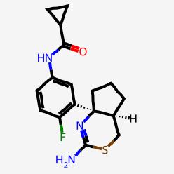 NC1=N[C@@]2(c3cc(NC(=O)C4CC4)ccc3F)CCC[C@H]2CS1